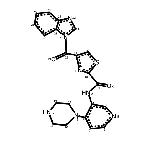 O=C(Nc1cnccc1N1CCNCC1)c1nc(C(=O)n2cnc3ccccc32)cs1